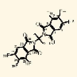 CC(C)(N1C(=O)c2cc(F)c(F)c(F)c2C1=O)N1C(=O)c2cc(F)c(F)c(F)c2C1=O